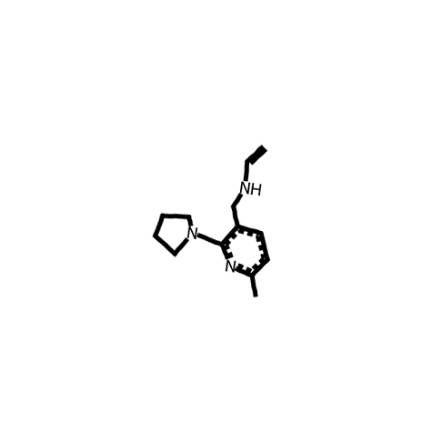 C=CNCc1ccc(C)nc1N1CCCC1